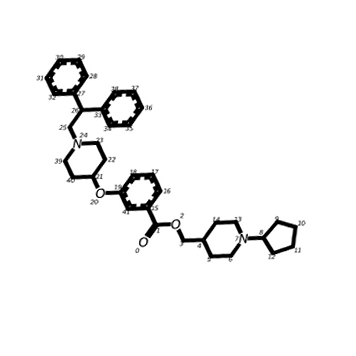 O=C(OCC1CCN(C2CCCC2)CC1)c1cccc(OC2CCN(CC(c3ccccc3)c3ccccc3)CC2)c1